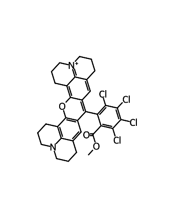 COC(=O)c1c(Cl)c(Cl)c(Cl)c(Cl)c1C1=c2cc3c4c(c2Oc2c1cc1c5c2CCCN5CCC1)CCC[N+]=4CCC3